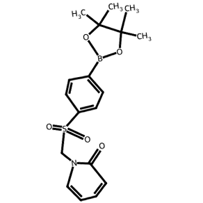 CC1(C)OB(c2ccc(S(=O)(=O)Cn3ccccc3=O)cc2)OC1(C)C